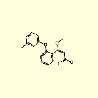 CO/C(=C/C(=O)O)c1ccccc1Oc1cccc(C)c1